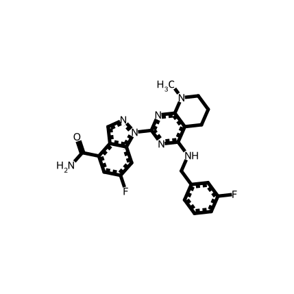 CN1CCCc2c(NCc3cccc(F)c3)nc(-n3ncc4c(C(N)=O)cc(F)cc43)nc21